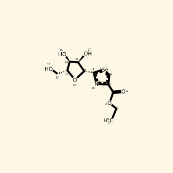 CCOC(=O)c1c[se]c([C@@H]2O[C@H](CO)[C@@H](O)[C@H]2O)n1